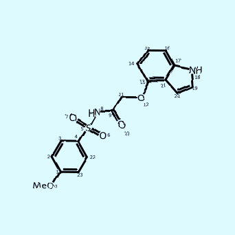 COc1ccc(S(=O)(=O)NC(=O)COc2cccc3[nH]ccc23)cc1